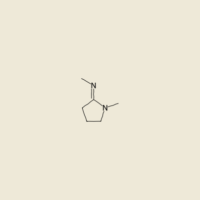 C/N=C1\CCCN1C